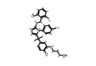 CC(C)(c1ccc(Cl)c(OCCCO)c1)c1cnc(SCc2c(F)cccc2Cl)n1-c1ccc(F)cc1